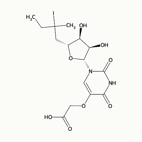 CCC(C)(I)C[C@H]1O[C@@H](n2cc(OCC(=O)O)c(=O)[nH]c2=O)[C@H](O)[C@@H]1O